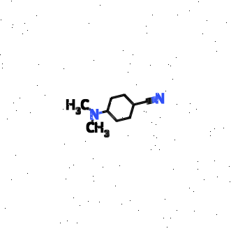 CN(C)C1CCC(C#N)CC1